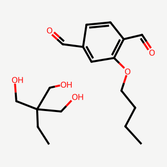 CCC(CO)(CO)CO.CCCCOc1cc(C=O)ccc1C=O